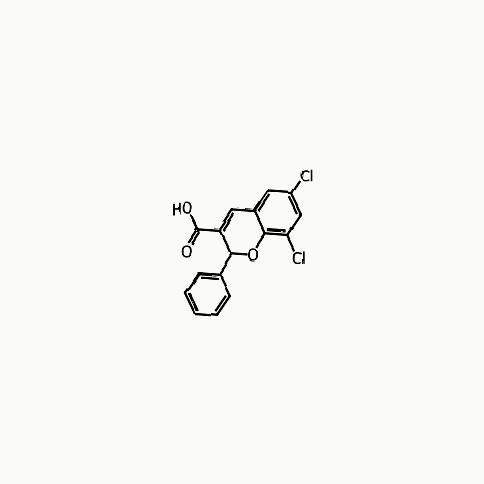 O=C(O)C1=Cc2cc(Cl)cc(Cl)c2OC1c1ccccc1